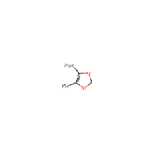 CCCC(C)C1=C(C(C)(C)C)OCO1